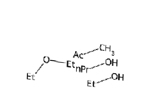 CC(C)=O.CCCO.CCO.CCOCC